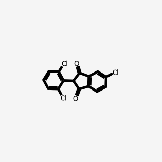 O=C1c2ccc(Cl)cc2C(=O)C1c1c(Cl)cccc1Cl